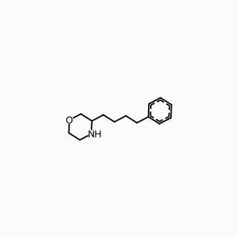 c1ccc(CCCCC2COCCN2)cc1